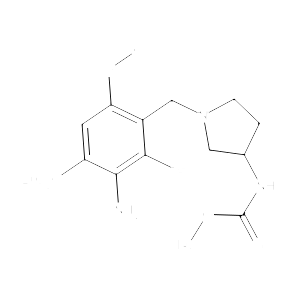 CCOC(=O)c1cc(OC(F)(F)F)c(CN2CCC(NC(=O)OC(C)(C)C)C2)c(Br)c1N